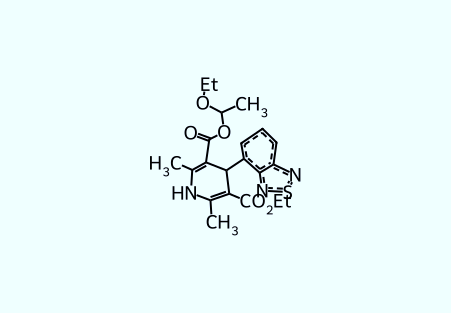 CCOC(=O)C1=C(C)NC(C)=C(C(=O)OC(C)OCC)C1c1cccc2nsnc12